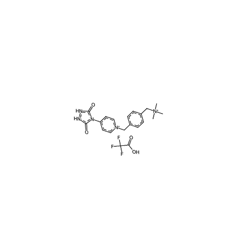 C[N+](C)(C)Cc1ccc(C[n+]2ccc(-n3c(=O)[nH][nH]c3=O)cc2)cc1.O=C(O)C(F)(F)F